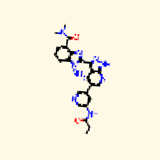 CCC(=O)Nc1cncc(-c2cnc3[nH]nc(-c4nc5c(C(=O)N(C)C)cccc5n4N)c3c2)c1